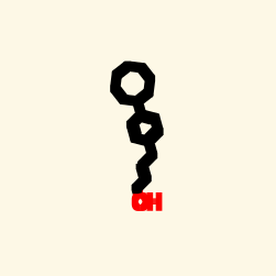 OCC=CCc1ccc(C2CCCCCCC2)cc1